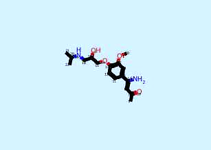 COc1cc(C(N)=CC(C)=O)ccc1OCC(O)CNC(C)C